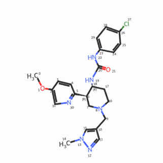 COc1ccc([C@@H]2CN(Cc3cnn(C)c3)CC[C@H]2NC(=O)Nc2ccc(Cl)cc2)nc1